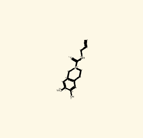 C=CCNC(=S)N1CCc2cc(O)c(O)cc2C1